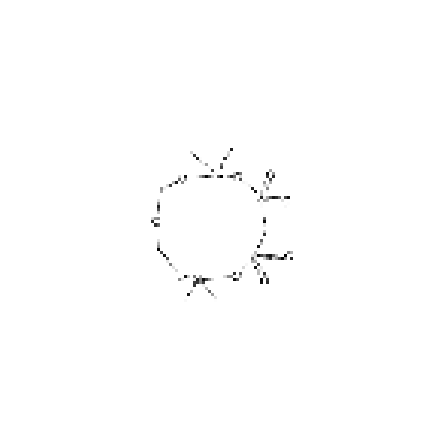 C[Si]1(C)OCCCO[Si](C)(C)OS(=O)(=O)CS(=O)(=O)O1